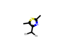 CCC(C(C)=O)c1nc(C)sc1C